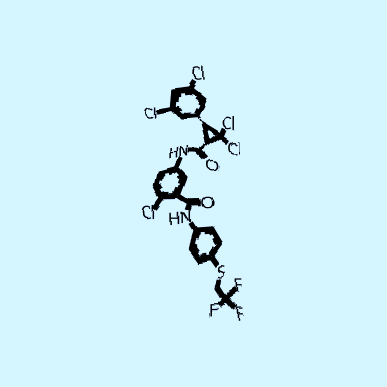 O=C(Nc1ccc(SCC(F)(F)F)cc1)c1cc(NC(=O)[C@H]2[C@H](c3cc(Cl)cc(Cl)c3)C2(Cl)Cl)ccc1Cl